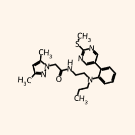 CCCN(CCNC(=O)Cn1nc(C)cc1C)c1ccccc1-c1cnc(SC)nc1